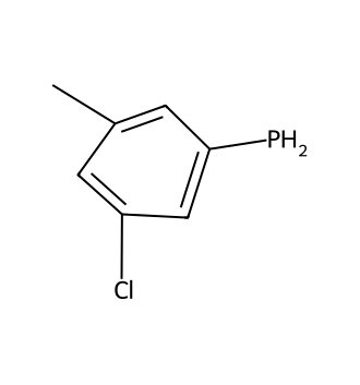 Cc1cc(P)cc(Cl)c1